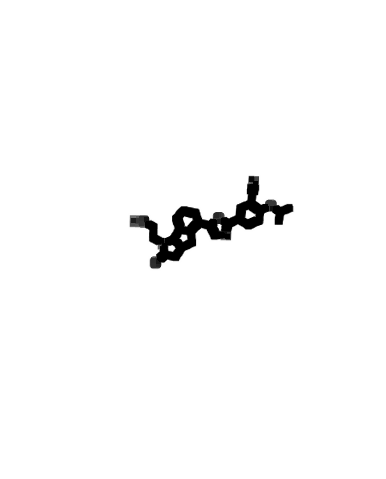 CC(C)Oc1ccc(-c2ncc(-c3cccc4c3CC3CC(=O)N(CCO)C43)o2)cc1C#N